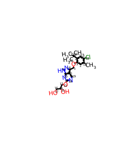 Cc1cc(OCc2n[nH]c3nc(OCC(O)CO)ncc23)c(C(C)(C)C)cc1Cl